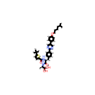 CC(C)CCCCOc1ccc(-c2cnc(-c3ccc(C[C@H](NC(=O)c4ccc(C(C)(C)C)s4)C(=O)N[C@H](C)C(O)O)cc3)nc2)cc1